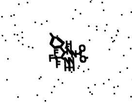 COC(=O)N1NNC(C(F)(F)F)C(c2ccc(C)cc2)N1